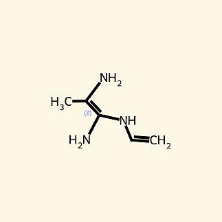 C=CN/C(N)=C(/C)N